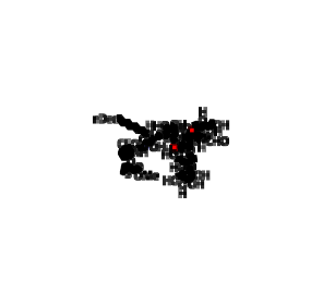 CCCCCCCCCCCCCCCCCC(=O)N[C@@H](COC1OC(CO)C(OC2OC(CO)C(OC3OC(CO)C(O)C(OC4OC(CO)C(O)C(O)C4O)C3C)C(OC3(NOC=O)CC(O)C(C)C([C@H](O)[C@H](O)CO)O3)C2O)C(O)C1O)[C@H](O)/C=C/C(=O)Nc1cc(C(F)(F)F)ccc1Oc1ccsc1C(=O)OC